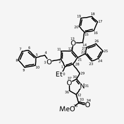 CCc1c(OCc2ccccc2)cc(OCc2ccccc2)c(-c2ccccc2)c1CC1=NC(C(=O)OC)CO1